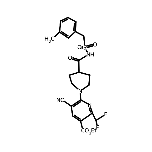 CCOC(=O)c1cc(C#N)c(N2CCC(C(=O)NS(=O)(=O)Cc3cccc(C)c3)CC2)nc1C(F)F